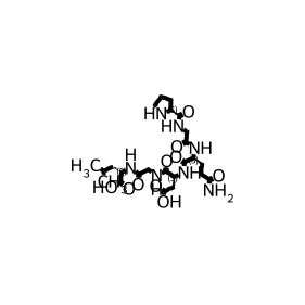 CC(C)C[C@H](NC(=O)CNC(=O)[C@H](CC(=O)O)NC(=O)[C@H](CCC(N)=O)NC(=O)CNC(=O)[C@@H]1CCCN1)C(=O)O